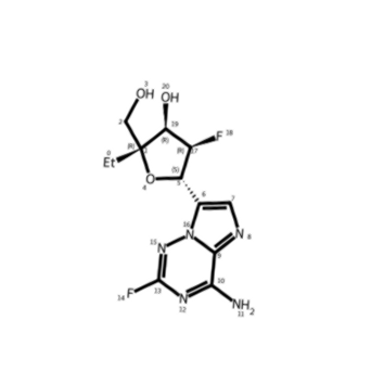 CC[C@]1(CO)O[C@@H](c2cnc3c(N)nc(F)nn23)[C@H](F)[C@@H]1O